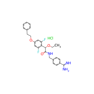 CCOC(C(=O)NCc1ccc(C(=N)N)cc1)c1c(F)cc(OCCc2ccccc2)cc1F.Cl